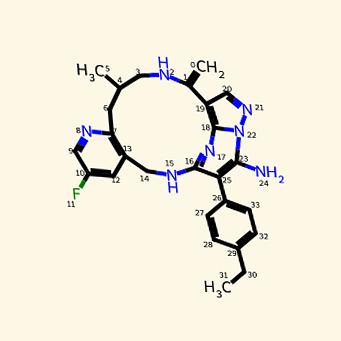 C=C1NCC(C)Cc2ncc(F)cc2CNc2nc3c1cnn3c(N)c2-c1ccc(CC)cc1